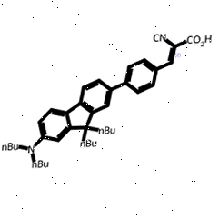 [C-]#[N+]/C(=C\c1ccc(-c2ccc3c(c2)C(CCCC)(CCCC)c2cc(N(CCCC)CCCC)ccc2-3)cc1)C(=O)O